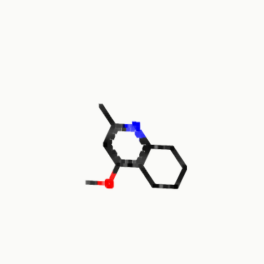 COc1cc(C)nc2c1CCCC2